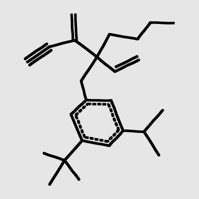 C#CC(=C)C(C=C)(CCCC)Cc1cc(C(C)C)cc(C(C)(C)C)c1